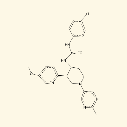 COc1ccc([C@@H]2CN(c3cnc(C)nc3)CC[C@H]2NC(=O)Nc2ccc(Cl)cc2)nc1